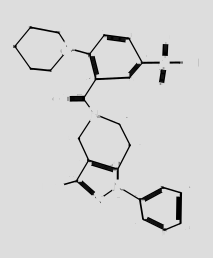 CS(=O)(=O)c1ccc(N2CCCCC2)c(C(=O)N2CCc3c(c(C(F)(F)F)nn3-c3ccccc3)C2)c1